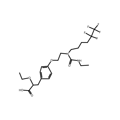 CCNC(=O)N(CCCCC(F)(F)C(F)(F)F)CCOc1ccc(CC(OCC)C(=O)O)cc1